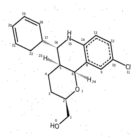 OC[C@H]1CC[C@@H]2[C@H](O1)c1cc(Cl)ccc1N[C@H]2C1C=CC=CC1